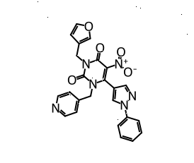 O=c1c([N+](=O)[O-])c(-c2cnn(-c3ccccc3)c2)n(Cc2ccncc2)c(=O)n1Cc1ccoc1